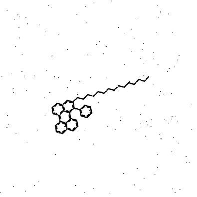 CCCCCCCCCCCCCCCc1cc2cccc3c4cccc5cccc(c(c1-c1ccccc1)c23)c54